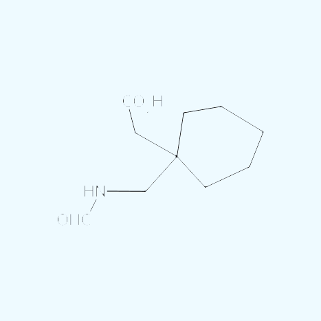 O=CNCC1(CC(=O)O)CCCCC1